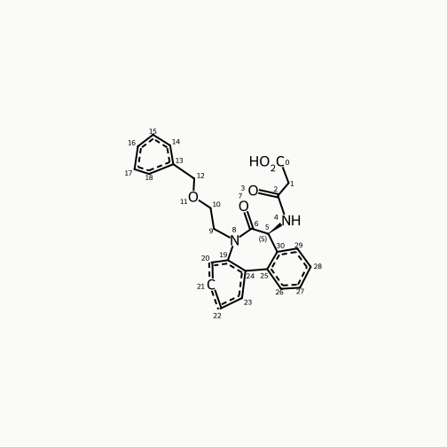 O=C(O)CC(=O)N[C@@H]1C(=O)N(CCOCc2ccccc2)c2ccccc2-c2ccccc21